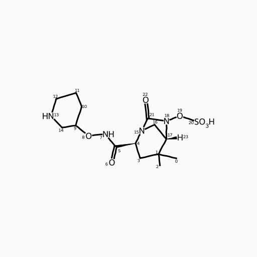 CC1(C)C[C@@H](C(=O)NOC2CCCNC2)N2C[C@@H]1N(OS(=O)(=O)O)C2=O